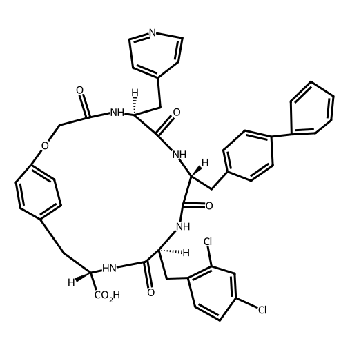 O=C1COc2ccc(cc2)C[C@@H](C(=O)O)NC(=O)[C@H](Cc2ccc(Cl)cc2Cl)NC(=O)[C@@H](Cc2ccc(-c3ccccc3)cc2)NC(=O)[C@H](Cc2ccncc2)N1